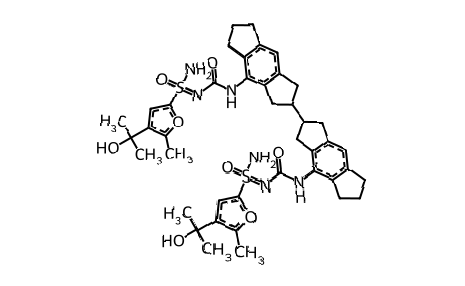 Cc1oc(S(N)(=O)=NC(=O)Nc2c3c(cc4c2CC(C2Cc5cc6c(c(NC(=O)N=S(N)(=O)c7cc(C(C)(C)O)c(C)o7)c5C2)CCC6)C4)CCC3)cc1C(C)(C)O